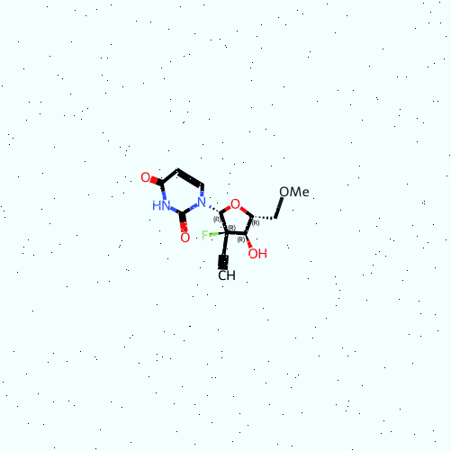 C#C[C@@]1(F)[C@H](O)[C@@H](COC)O[C@H]1n1ccc(=O)[nH]c1=O